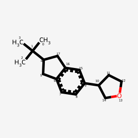 CC(C)(C)C1Cc2ccc(C3CCOC3)cc2C1